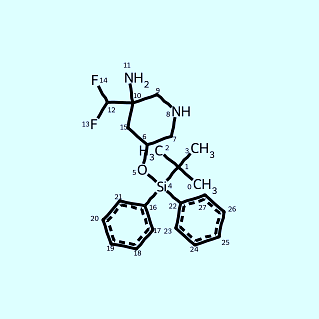 CC(C)(C)[Si](OC1CNCC(N)(C(F)F)C1)(c1ccccc1)c1ccccc1